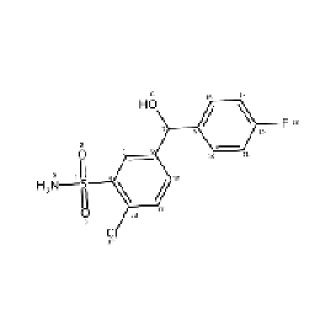 NS(=O)(=O)c1cc(C(O)c2ccc(F)cc2)ccc1Cl